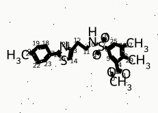 COC(=O)c1cc(S(=O)(=O)NCCc2csc(-c3ccc(C)cc3)n2)cc(C)c1C